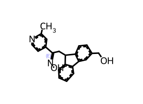 Cc1cc(/C(CC2c3ccccc3-c3cc(CO)ccc32)=N/O)ccn1